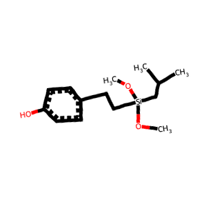 CO[Si](CCc1ccc(O)cc1)(CC(C)C)OC